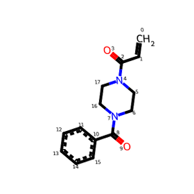 C=CC(=O)N1CCN(C(=O)c2ccccc2)CC1